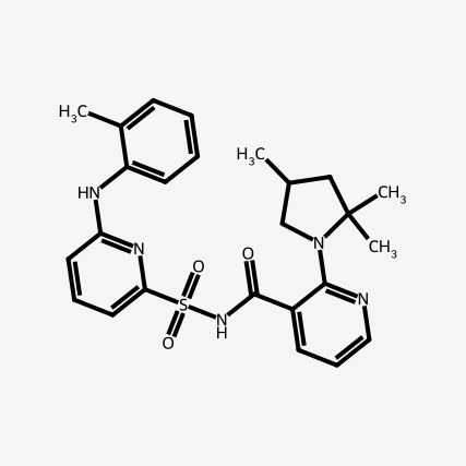 Cc1ccccc1Nc1cccc(S(=O)(=O)NC(=O)c2cccnc2N2CC(C)CC2(C)C)n1